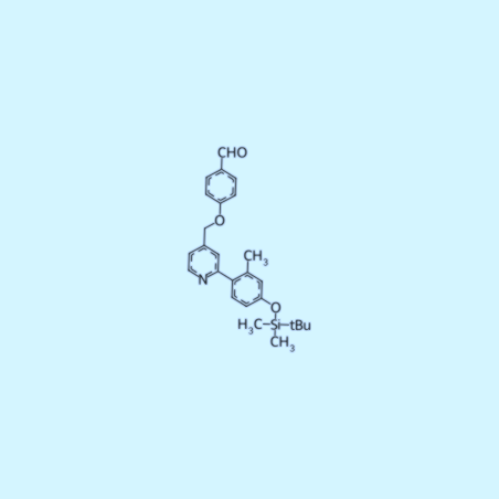 Cc1cc(O[Si](C)(C)C(C)(C)C)ccc1-c1cc(COc2ccc(C=O)cc2)ccn1